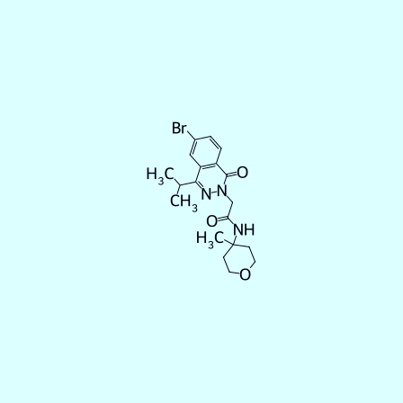 CC(C)c1nn(CC(=O)NC2(C)CCOCC2)c(=O)c2ccc(Br)cc12